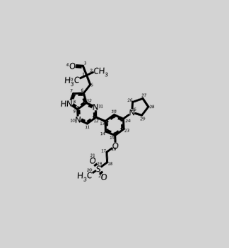 CC(C)(C=O)Cc1c[nH]c2ncc(-c3cc(OCCS(C)(=O)=O)cc(N4CCCC4)c3)nc12